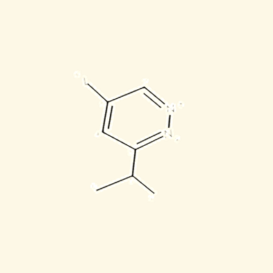 CC(C)c1cc(I)cnn1